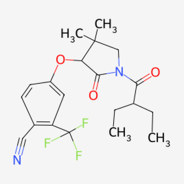 CCC(CC)C(=O)N1CC(C)(C)C(Oc2ccc(C#N)c(C(F)(F)F)c2)C1=O